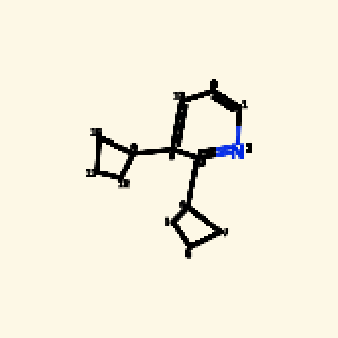 c1cnc(C2CCC2)c(C2CCC2)c1